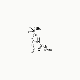 C=CC[C@H](CO[Si](C)(C)C(C)(C)C)NC(=O)OC(C)(C)C